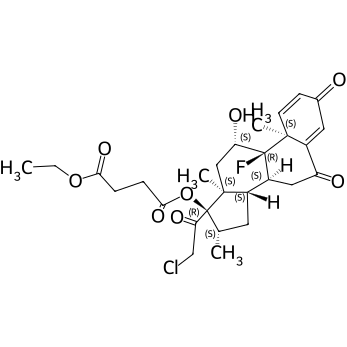 CCOC(=O)CCC(=O)O[C@]1(C(=O)CCl)[C@@H](C)C[C@H]2[C@@H]3CC(=O)C4=CC(=O)C=C[C@]4(C)[C@@]3(F)[C@@H](O)C[C@@]21C